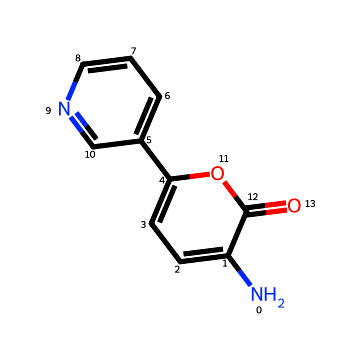 Nc1ccc(-c2cccnc2)oc1=O